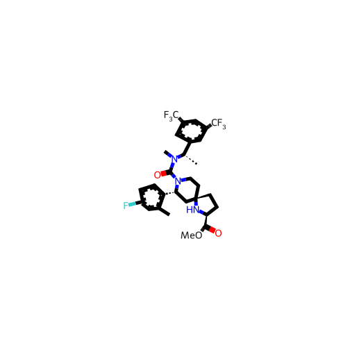 COC(=O)[C@@H]1CC[C@@]2(CCN(C(=O)N(C)[C@@H](C)c3cc(C(F)(F)F)cc(C(F)(F)F)c3)[C@@H](c3ccc(F)cc3C)C2)N1